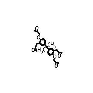 CC(C)(c1ccc(OCC2CO2)c(CC2CO2)c1)c1ccc(OCC2CO2)c(CC2CO2)c1